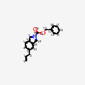 C=CCc1ccc2cn(C(=O)OCc3ccccc3)cc2c1